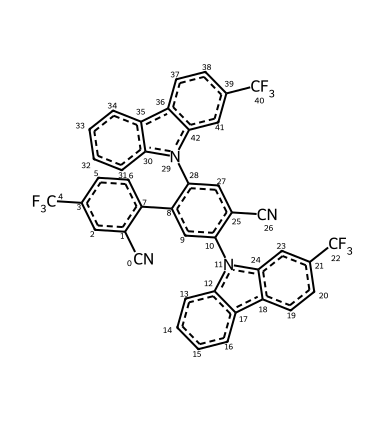 N#Cc1cc(C(F)(F)F)ccc1-c1cc(-n2c3ccccc3c3ccc(C(F)(F)F)cc32)c(C#N)cc1-n1c2ccccc2c2ccc(C(F)(F)F)cc21